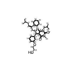 CC(C)CC=C(Cn1nc2c(c1-c1cccc(OCCO)c1)c(=O)n(C)c(=O)n2CC(C)C)c1ccccc1